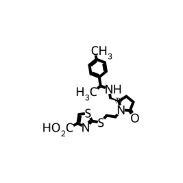 Cc1ccc(C(C)NC[C@H]2CCC(=O)N2CCSc2nc(C(=O)O)cs2)cc1